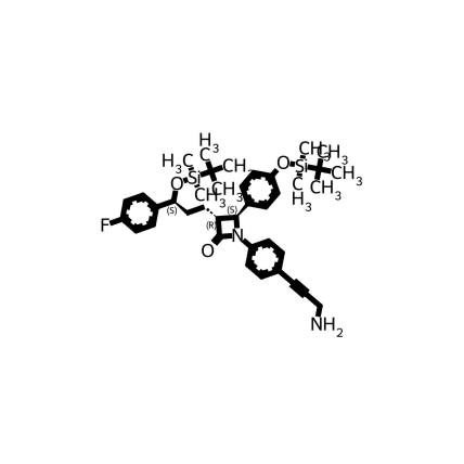 CC(C)(C)[Si](C)(C)Oc1ccc([C@@H]2[C@@H](CC[C@H](O[Si](C)(C)C(C)(C)C)c3ccc(F)cc3)C(=O)N2c2ccc(C#CCN)cc2)cc1